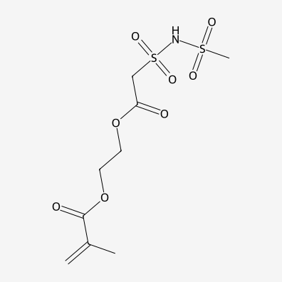 C=C(C)C(=O)OCCOC(=O)CS(=O)(=O)NS(C)(=O)=O